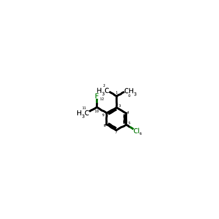 CC(C)c1cc(Cl)ccc1C(C)F